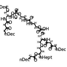 CCCCCCCCCCCC(=O)CC(=O)N[C@H](COCCCCCCCCCC)COP(=O)(O)OCCNC(=O)NCCOP(=O)(O)OC[C@@H](COCC[C@@H](CCCCCCC)OC(=O)CCCCCCCCCCC)NC(=O)CC(=O)CCCCCCCCCCC